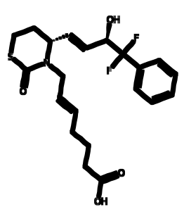 O=C(O)CCC/C=C/CN1C(=O)SCC[C@@H]1/C=C/[C@@H](O)C(F)(F)c1ccccc1